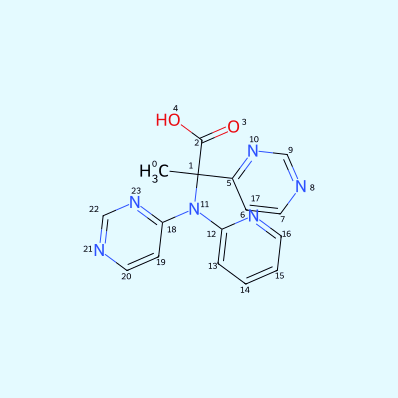 CC(C(=O)O)(c1ccncn1)N(c1ccccn1)c1ccncn1